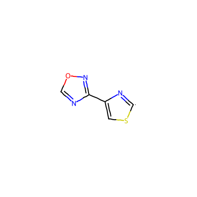 [c]1nc(-c2ncon2)cs1